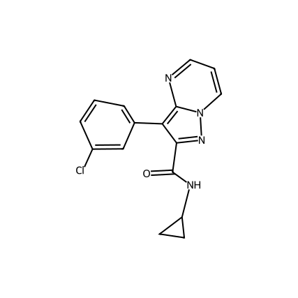 O=C(NC1CC1)c1nn2cccnc2c1-c1cccc(Cl)c1